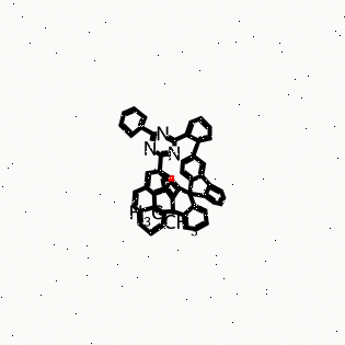 CC1(C)c2ccccc2C2(c3ccccc3-c3cc(-c4ccccc4-c4nc(-c5ccccc5)nc(-c5ccc6c(ccc7ccccc76)c5)n4)ccc32)c2ccccc21